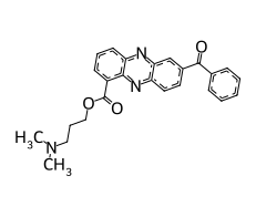 CN(C)CCCOC(=O)c1cccc2nc3cc(C(=O)c4ccccc4)ccc3nc12